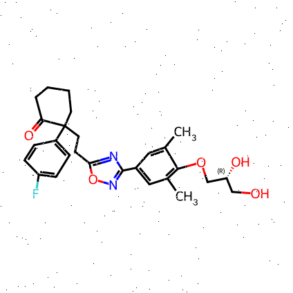 Cc1cc(-c2noc(CCC3(c4ccc(F)cc4)CCCCC3=O)n2)cc(C)c1OC[C@H](O)CO